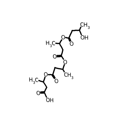 CC(O)CC(=O)OC(C)CC(=O)OC(C)CC(=O)OC(C)CC(=O)O